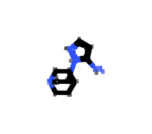 Nc1ccnn1C1CN2CCC1CC2